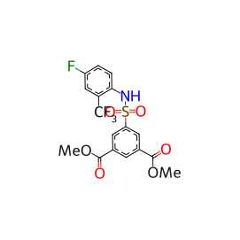 COC(=O)c1cc(C(=O)OC)cc(S(=O)(=O)Nc2ccc(F)cc2C(F)(F)F)c1